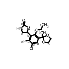 CCOc1c(C2(C)OCCO2)cc(Cl)c(F)c1C1CNC(=O)O1